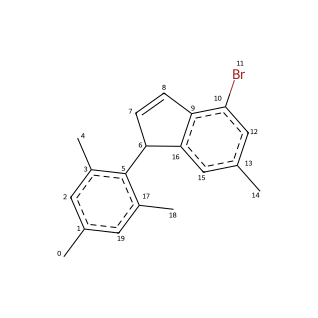 Cc1cc(C)c(C2C=Cc3c(Br)cc(C)cc32)c(C)c1